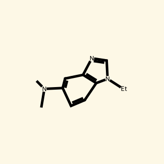 CCn1cnc2cc(N(C)C)ccc21